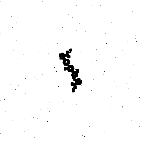 CCOC(=O)c1cnnn1C[C@H]1CN(c2ccc(N3CCC(n4nncc4C(=O)OCC)CC3)c(F)c2)C(=O)O1